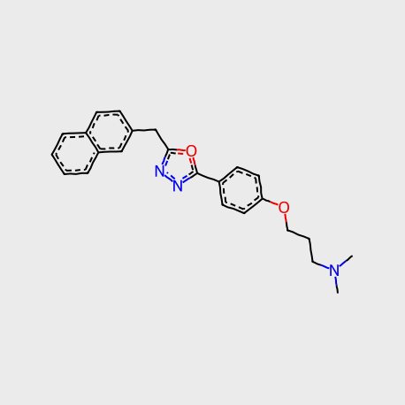 CN(C)CCCOc1ccc(-c2nnc(Cc3ccc4ccccc4c3)o2)cc1